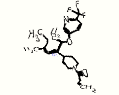 C=CC(=O)N1CCC(/C(=C/C(C)CC)C(=C)Oc2ccc(C(F)(F)F)nc2)CC1